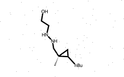 CCCCC1C[C@]1(C)CNNCCO